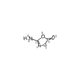 NC1=NOS(=O)O1